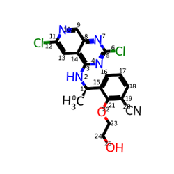 C[C@@H](Nc1nc(Cl)nc2cnc(Cl)cc12)c1cccc(C#N)c1OCCO